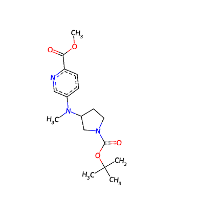 COC(=O)c1ccc(N(C)C2CCN(C(=O)OC(C)(C)C)C2)cn1